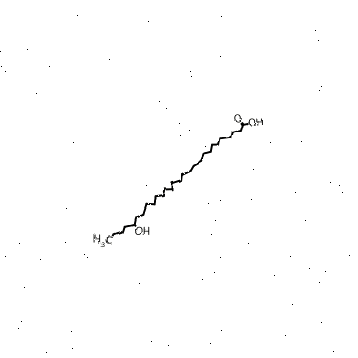 CCCCC(O)CCCCCCCCCCCCCCCCCCCCCCC(=O)O